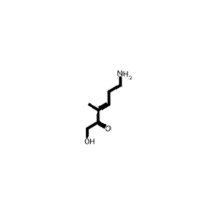 C/C(=C\CCN)C(=O)CO